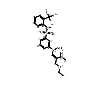 CCOC/C(=C/N(N)c1cccc(S(=O)(=O)Nc2ccccc2C(F)(F)F)c1)NC